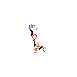 NCCCOCCCS(=O)(=O)CCCl